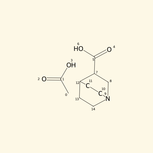 CC(=O)O.O=C(O)C1CN2CCC1CC2